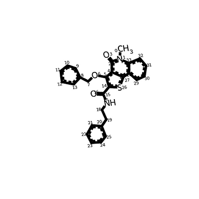 Cn1c(=O)c2c(OCc3ccccc3)c(C(=O)NCCc3ccccc3)sc2c2ccccc21